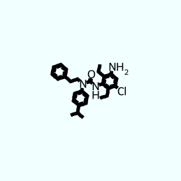 CCc1c(N)cc(Cl)c(CC)c1NC(=O)N(CCc1ccccc1)c1ccc(C(C)C)cc1